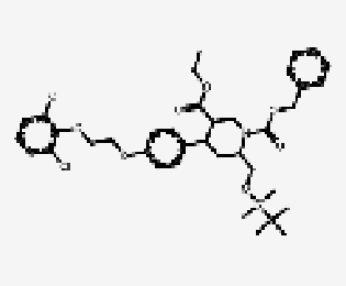 CCOC(=O)C1CN(C(=O)OCc2ccccc2)C(CO[Si](C)(C)C(C)(C)C)CC1c1ccc(OCCOc2c(Cl)cccc2Cl)cc1